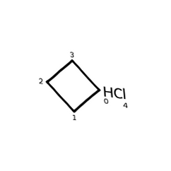 C1CCC1.Cl